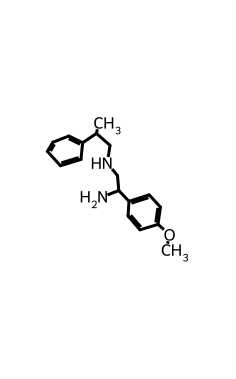 COc1ccc(C(N)CNCC(C)c2ccccc2)cc1